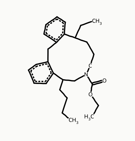 CCCCC1CN(C(=O)OCC)CCCC(CC)c2ccccc2Cc2ccccc21